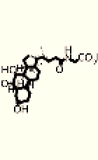 C[C@H](CCC(=O)NCC(=O)O)[C@H]1CC[C@H]2[C@@H]3[C@H](O)[C@H](O)[C@@H]4C[C@H](O)CC[C@]4(C)[C@H]3CC[C@]12C